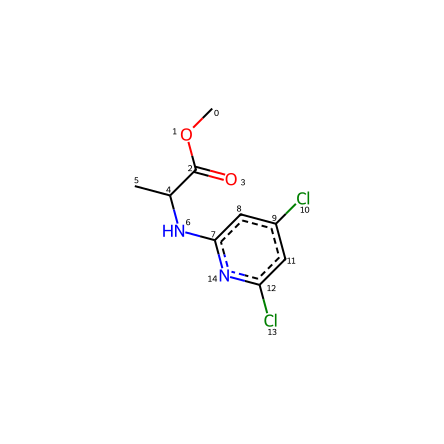 COC(=O)C(C)Nc1cc(Cl)cc(Cl)n1